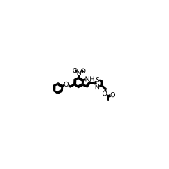 CC(=O)OCC1CSC(c2cc3cc(COc4ccccc4)cc([N+](=O)[O-])c3[nH]2)=N1